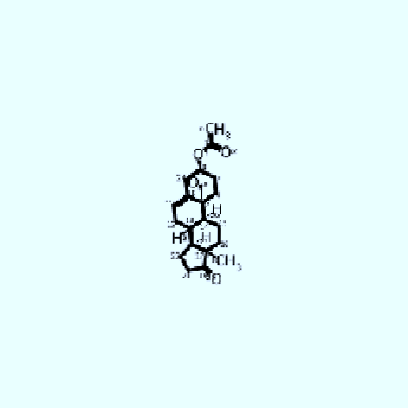 CC(=O)O[C@H]1CC[C@@]2(C=O)C(=CC[C@@H]3[C@@H]2CC[C@]2(C)C(=O)CC[C@@H]32)C1